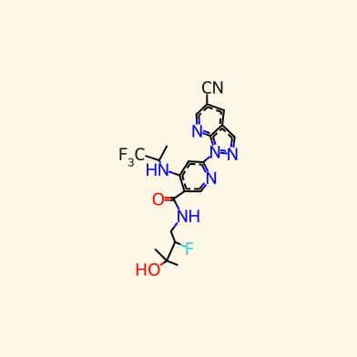 CC(Nc1cc(-n2ncc3cc(C#N)cnc32)ncc1C(=O)NCC(F)C(C)(C)O)C(F)(F)F